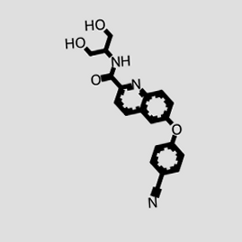 N#Cc1ccc(Oc2ccc3nc(C(=O)NC(CO)CO)ccc3c2)cc1